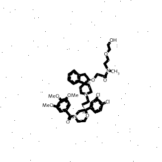 COc1cc(C(=O)N2CCO[C@](CCN3CCC4(CC3)c3ccccc3C[C@@H]4OCC(=O)N(C)CCOCCO)(c3ccc(Cl)c(Cl)c3)C2)cc(OC)c1OC